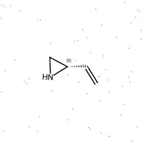 C=C[C@H]1CN1